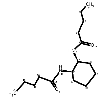 CCCCC(=O)N[C@H]1CCCC[C@H]1NC(=O)CCCC